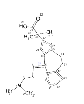 CN(C)CC/C=C1\c2ccccc2CCc2sc(C(C)(C)C(=O)O)cc21